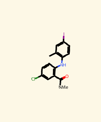 CNC(=O)c1cc(Cl)ccc1Nc1ccc(I)cc1C